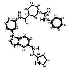 CC(Nc1nccc(-n2cnc3cc(NCC4CCCN4)ccc32)n1)C1CCCN(C(=O)Nc2ccccc2)C1